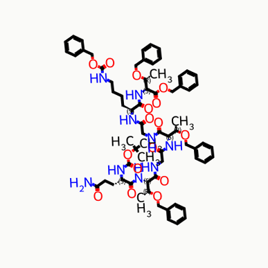 C[C@@H](OCc1ccccc1)[C@H](NC(=O)CNC(=O)[C@@H](NC(=O)[C@H](CCC(N)=O)NC(=O)OC(C)(C)C)[C@@H](C)OCc1ccccc1)C(=O)NCC(=O)N[C@@H](CCCCNC(=O)OCc1ccccc1)C(=O)N[C@H](C(=O)OCc1ccccc1)[C@@H](C)OCc1ccccc1